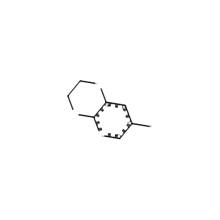 Ic1cnc2c(c1)OCCO2